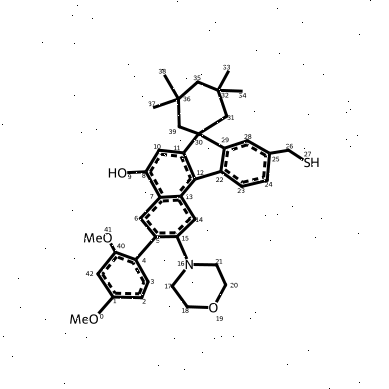 COc1ccc(-c2cc3c(O)cc4c(c3cc2N2CCOCC2)-c2ccc(CS)cc2C42CC(C)(C)CC(C)(C)C2)c(OC)c1